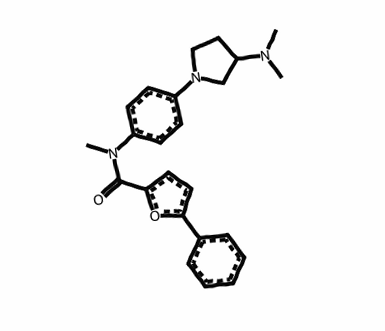 CN(C(=O)c1ccc(-c2ccccc2)o1)c1ccc(N2CCC(N(C)C)C2)cc1